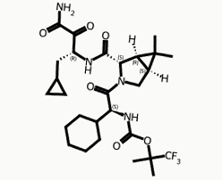 CC1(C)[C@@H]2[C@@H](C(=O)N[C@H](CC3CC3)C(=O)C(N)=O)N(C(=O)[C@@H](NC(=O)OC(C)(C)C(F)(F)F)C3CCCCC3)C[C@@H]21